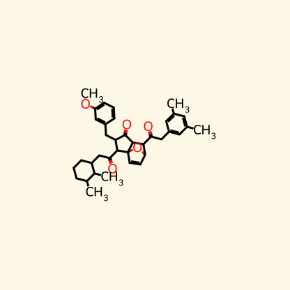 COc1cccc(CC2C(=O)C3C(C(=O)Cc4cc(C)cc(C)c4)C4C=CC3(O4)C2C(=O)CC2CCCC(C)C2C)c1